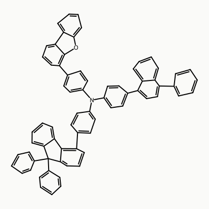 c1ccc(-c2ccc(-c3ccc(N(c4ccc(-c5cccc6c5-c5ccccc5C6(c5ccccc5)c5ccccc5)cc4)c4ccc(-c5cccc6c5oc5ccccc56)cc4)cc3)c3ccccc23)cc1